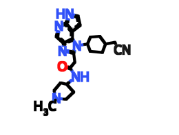 CN1CCC(NC(=O)Cc2nc3cnc4[nH]ccc4c3n2C2CCC(CC#N)CC2)CC1